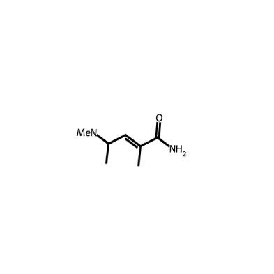 CNC(C)/C=C(\C)C(N)=O